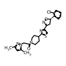 Cc1cc(C)n(CC(=O)N2CCC(c3nc(C4=NO[C@@H](c5[c]cccc5Cl)C4)cs3)CC2)n1